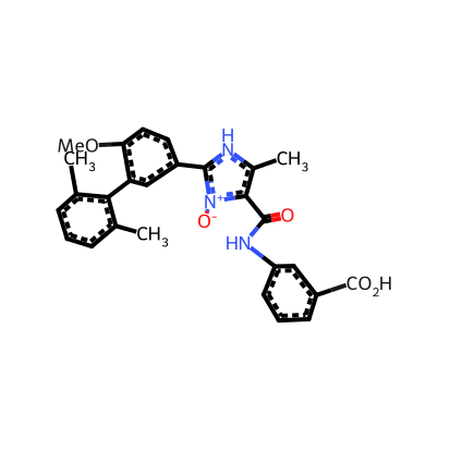 COc1ccc(-c2[nH]c(C)c(C(=O)Nc3cccc(C(=O)O)c3)[n+]2[O-])cc1-c1c(C)cccc1C